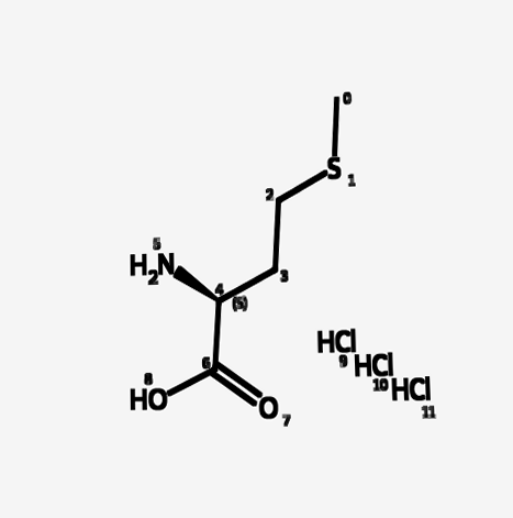 CSCC[C@H](N)C(=O)O.Cl.Cl.Cl